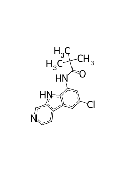 CC(C)(C)C(=O)Nc1cc(Cl)cc2c1[nH]c1cnccc12